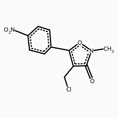 Cn1oc(-c2ccc([N+](=O)[O-])cc2)c(CCl)c1=O